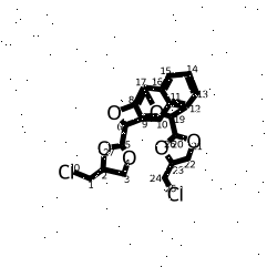 ClCC1COC(C2Oc3c2cc2c4cccc2c3OC4C2OCC(CCl)O2)O1